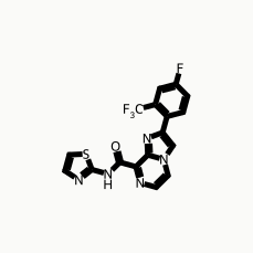 O=C(Nc1nccs1)c1nccn2cc(-c3ccc(F)cc3C(F)(F)F)nc12